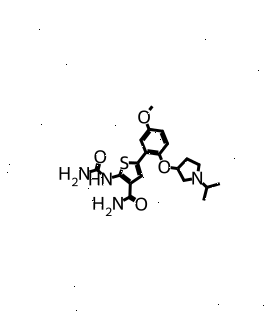 COc1ccc(OC2CCN(C(C)C)C2)c(-c2cc(C(N)=O)c(NC(N)=O)s2)c1